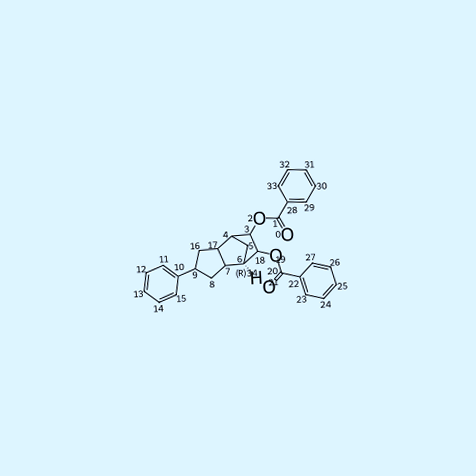 O=C(OC1C2C[C@H](C3CC(c4ccccc4)CC23)C1OC(=O)c1ccccc1)c1ccccc1